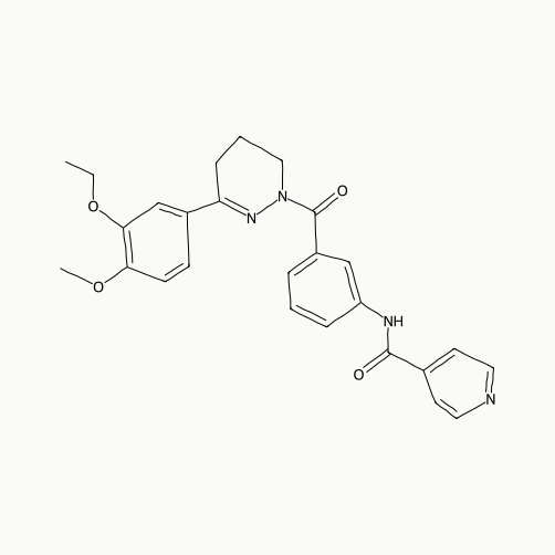 CCOc1cc(C2=NN(C(=O)c3cccc(NC(=O)c4ccncc4)c3)CCC2)ccc1OC